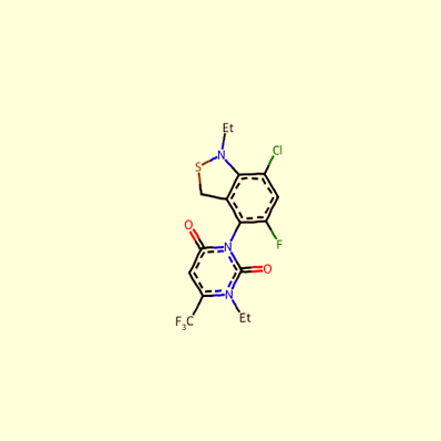 CCN1SCc2c1c(Cl)cc(F)c2-n1c(=O)cc(C(F)(F)F)n(CC)c1=O